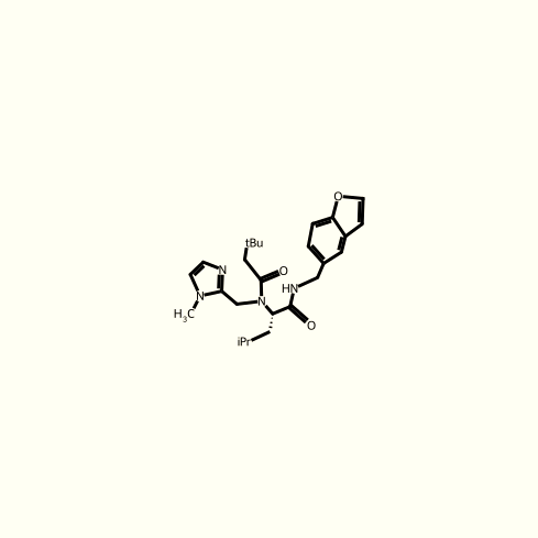 CC(C)C[C@@H](C(=O)NCc1ccc2occc2c1)N(Cc1nccn1C)C(=O)CC(C)(C)C